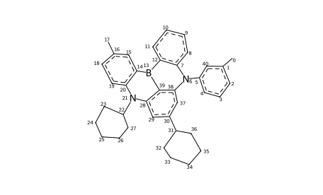 Cc1cccc(N2c3ccccc3B3c4cc(C)ccc4N(C4CCCCC4)c4cc(C5CCCCC5)cc2c43)c1